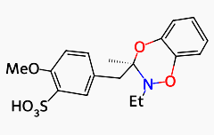 CCN1Oc2ccccc2O[C@]1(C)Cc1ccc(OC)c(S(=O)(=O)O)c1